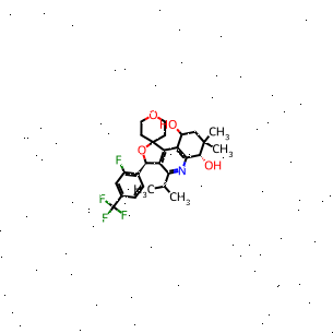 CC(C)c1nc2c(c3c1[C@@H](c1ccc(C(F)(F)F)cc1F)OC31CCOCC1)C(O)CC(C)(C)[C@@H]2O